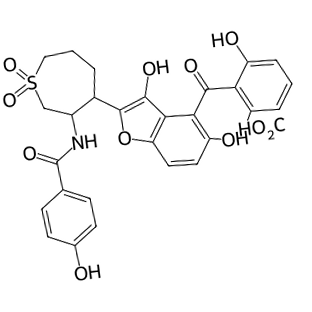 O=C(NC1CS(=O)(=O)CCCC1c1oc2ccc(O)c(C(=O)c3c(O)cccc3C(=O)O)c2c1O)c1ccc(O)cc1